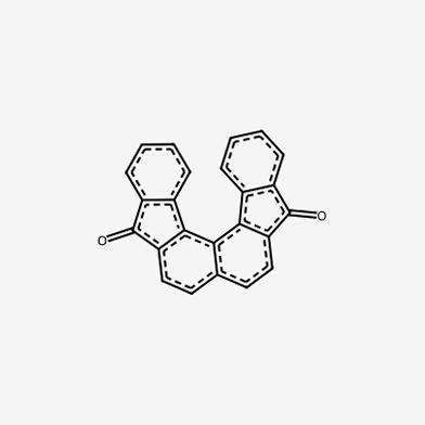 O=c1c2ccccc2c2c1ccc1ccc3c(=O)c4ccccc4c3c12